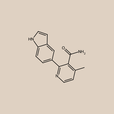 Cc1ccnc(-c2ccc3[nH]ccc3c2)c1C(N)=O